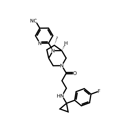 C[C@H]1CC2CN(C(=O)CCNC3(c4ccc(F)cc4)CC3)C[C@H]1N2c1ccc(C#N)cn1